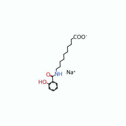 O=C([O-])CCCCCCCCCNC(=O)c1ccccc1O.[Na+]